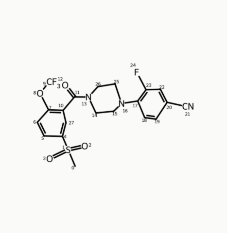 CS(=O)(=O)c1ccc(OC(F)(F)F)c(C(=O)N2CCN(c3ccc(C#N)cc3F)CC2)c1